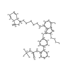 CCCCc1nc2c(C)ccc(OCCCCCN3CNC4C=CC=CC43)c2n1Cc1ccc(-c2ccccc2OC(=O)OC(C)(C)C)cc1